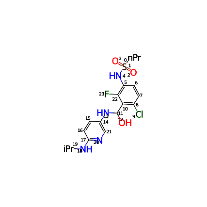 CCCS(=O)(=O)Nc1ccc(Cl)c(C(O)Nc2ccc(NC(C)C)nc2)c1F